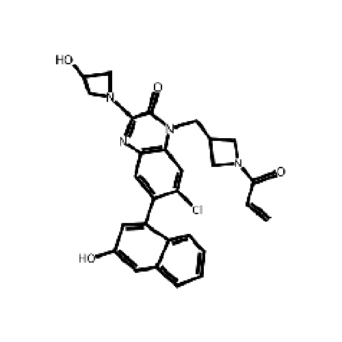 C=CC(=O)N1CC(Cn2c(=O)c(N3CC(O)C3)nc3cc(-c4cc(O)cc5ccccc45)c(Cl)cc32)C1